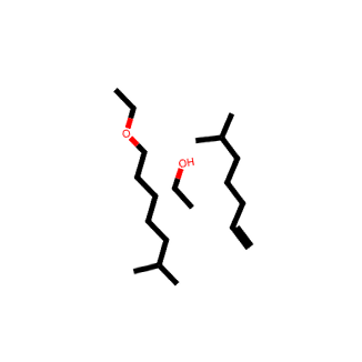 C=CCCCC(C)C.CCO.CCOCCCCCC(C)C